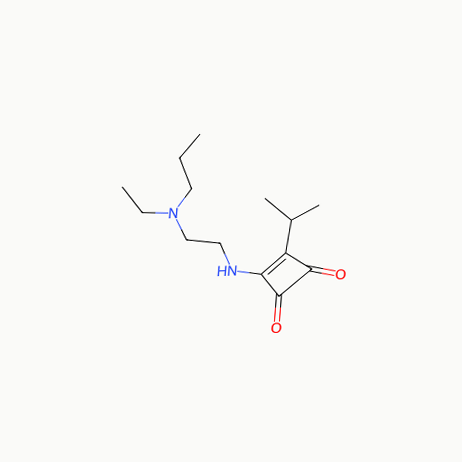 CCCN(CC)CCNc1c(C(C)C)c(=O)c1=O